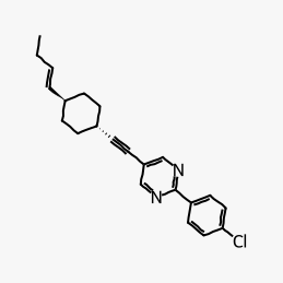 CCC=C[C@H]1CC[C@H](C#Cc2cnc(-c3ccc(Cl)cc3)nc2)CC1